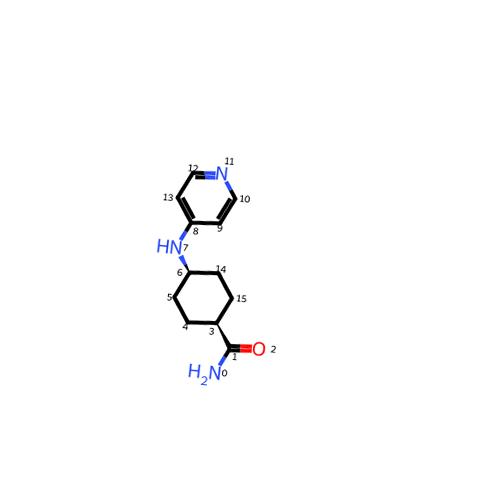 NC(=O)[C@H]1CC[C@@H](Nc2ccncc2)CC1